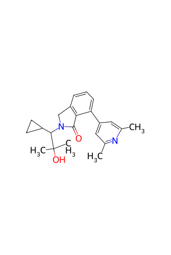 Cc1cc(-c2cccc3c2C(=O)N(C(C2CC2)C(C)(C)O)C3)cc(C)n1